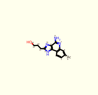 CC(=O)c1ccc2c(c1)nc(N)c1nc(CCCO)[nH]c12